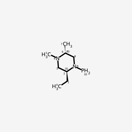 CC[C@H]1CN(C)[C@H](C)CN1P